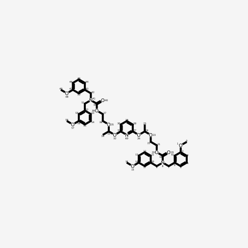 COc1cccc(CN(Cc2cccc(OC)c2)C(=O)OCCOC(C)Oc2cccc(OC(C)OCCOC(=O)N(Cc3cccc(OC)c3)Cc3cccc(OC)c3)n2)c1